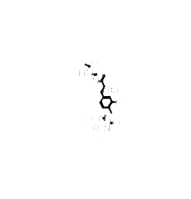 CC(=O)Nc1nc(CCc2ccc(CN(N)C(N)=O)c(F)c2F)cs1.Cl